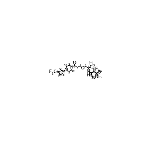 CC(COCCC(=O)N1CCN(c2ncc(C(F)(F)F)s2)CC1)Nc1cn[nH]c(=O)c1C(F)(F)F